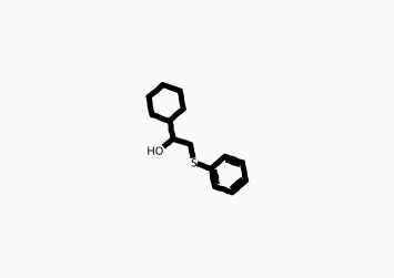 OC(CSc1ccccc1)C1CCCCC1